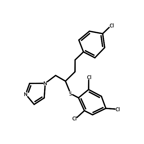 Clc1ccc(CCC(Cn2ccnc2)Sc2c(Cl)cc(Cl)cc2Cl)cc1